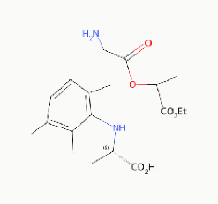 CCOC(=O)C(C)OC(=O)CN.Cc1ccc(C)c(N[C@@H](C)C(=O)O)c1C